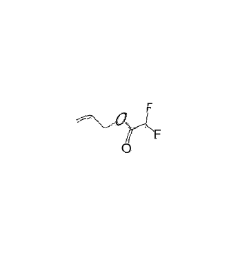 C=CCOC(=O)[C](F)F